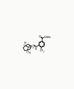 COC(=O)c1ccc(C(F)(F)F)c(NC[C@@H]2C[C@H]3CC[C@@H](C2)N3C(=O)O)c1